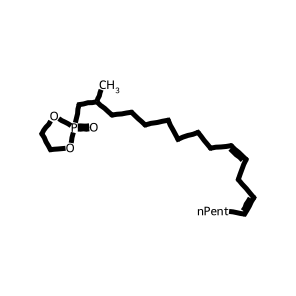 CCCCC/C=C\C/C=C\CCCCCCCC(C)CP1(=O)OCCO1